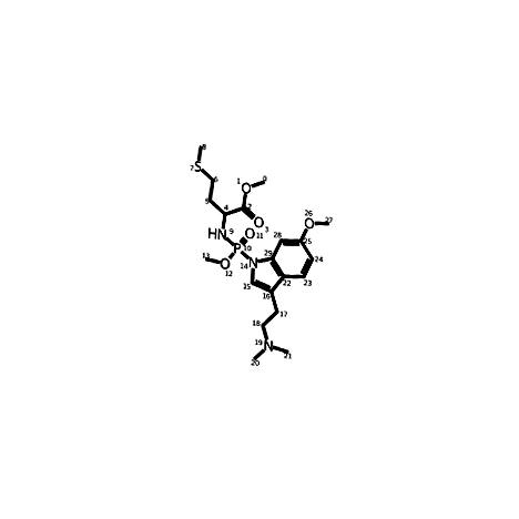 COC(=O)C(CCSC)NP(=O)(OC)n1cc(CCN(C)C)c2ccc(OC)cc21